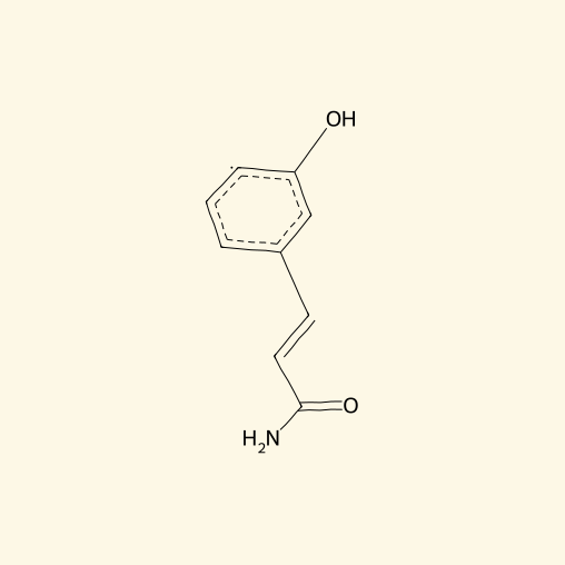 NC(=O)C=Cc1cc[c]c(O)c1